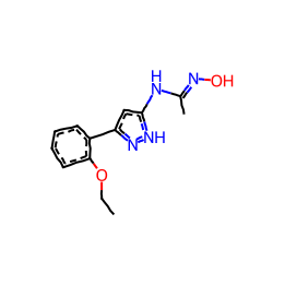 CCOc1ccccc1-c1cc(N/C(C)=N/O)[nH]n1